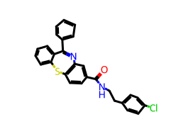 O=C(NCCc1ccc(Cl)cc1)c1ccc2c(c1)N=C(c1ccccc1)c1ccccc1S2